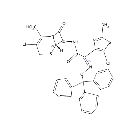 Nc1nc(/C(=N/OC(c2ccccc2)(c2ccccc2)c2ccccc2)C(=O)N[C@@H]2C(=O)N3C(C(=O)O)=C(Cl)CS[C@@H]23)c(Cl)s1